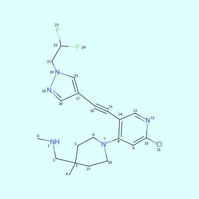 CNCC1(C)CCN(c2cc(Cl)ncc2C#Cc2cnn(CC(F)F)c2)CC1